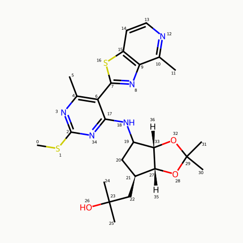 CSc1nc(C)c(-c2nc3c(C)nccc3s2)c(NC2C[C@H](CC(C)(C)O)[C@H]3OC(C)(C)O[C@@H]23)n1